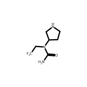 NC(=O)N(CC(F)(F)F)C1CCNC1